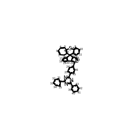 C1=CCC2=C(C=C1)Sc1ccccc1C21c2ccccc2-c2c(-c3ccc(-c4nc(-c5ccccc5)nc(-c5ccccc5)n4)cc3)cccc21